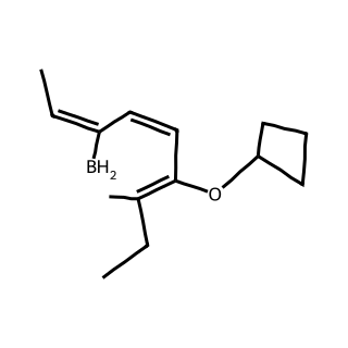 BC(/C=C\C(OC1CCC1)=C(/C)CC)=C/C